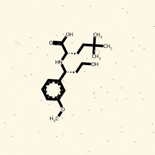 COc1cccc([C@@H](CCO)N[C@@H](CCC(C)(C)C)C(=O)O)c1